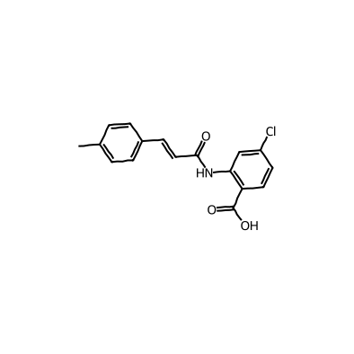 Cc1ccc(C=CC(=O)Nc2cc(Cl)ccc2C(=O)O)cc1